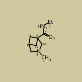 CCNC(=O)C12CC(CN(C)C1)C2